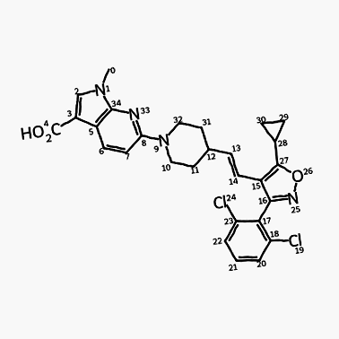 Cn1cc(C(=O)O)c2ccc(N3CCC(C=Cc4c(-c5c(Cl)cccc5Cl)noc4C4CC4)CC3)nc21